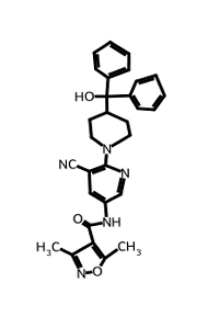 Cc1noc(C)c1C(=O)Nc1cnc(N2CCC(C(O)(c3ccccc3)c3ccccc3)CC2)c(C#N)c1